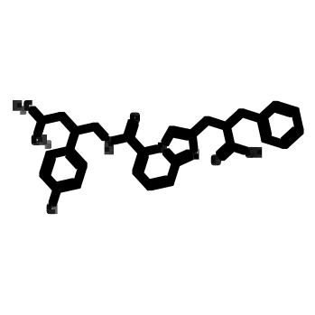 CC(C)CC(CNC(=O)c1cccc2nc(CC(Cc3ccccc3)C(=O)O)cn12)c1ccc(Cl)cc1